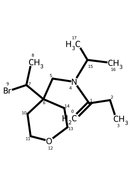 C=C(CC)N(CC1(C(C)Br)CCOCC1)C(C)C